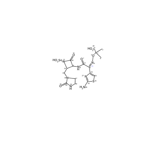 CC(C)(O/N=C(\C(=O)NC1C(=O)N(S(=O)(=O)O)C1CN1CCNC1=O)c1csc(N)n1)C(=O)O